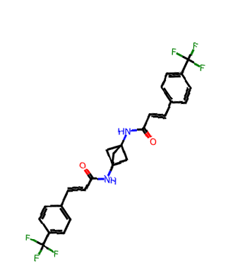 O=C(/C=C/c1ccc(C(F)(F)F)cc1)NC12CC(NC(=O)/C=C/c3ccc(C(F)(F)F)cc3)(C1)C2